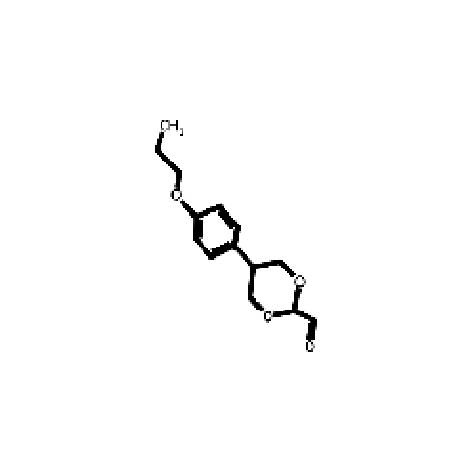 CCCOc1ccc(C2COC(C=O)OC2)cc1